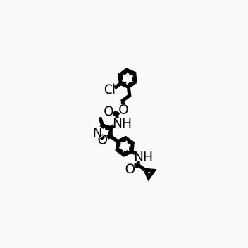 Cc1noc(-c2ccc(NC(=O)C3CC3)cc2)c1NC(=O)OCCc1ccccc1Cl